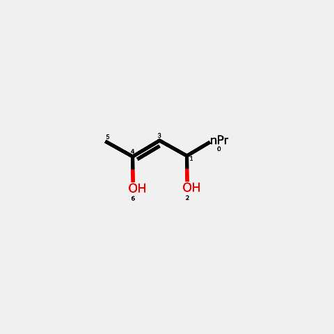 CCCC(O)C=C(C)O